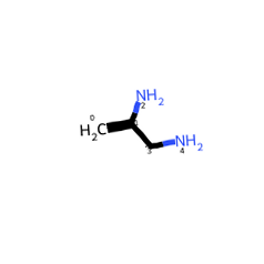 C=C(N)[CH]N